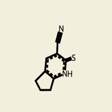 N#Cc1cc2c([nH]c1=S)CCC2